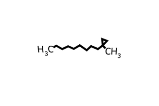 CCCCCCCCCC1(C)CC1